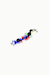 Cc1ccc(-c2cc(Cl)c(C(=O)N[C@@H](CNC(=O)CNC(=O)c3cccc(NC(=N)N)c3)C(=O)O)c(Cl)c2)s1